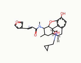 CC1C[C@@]2(O)[C@H]3Cc4ccc(O)c5c4[C@@]2(CCN3CC2CC2)C(O5)C1N(C)C(=O)/C=C/c1ccoc1